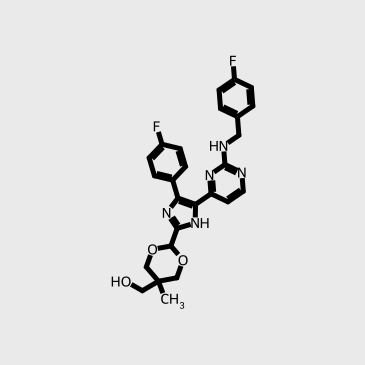 CC1(CO)COC(c2nc(-c3ccc(F)cc3)c(-c3ccnc(NCc4ccc(F)cc4)n3)[nH]2)OC1